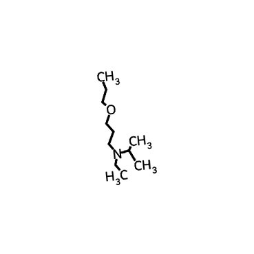 CCCOCCCN(CC)C(C)C